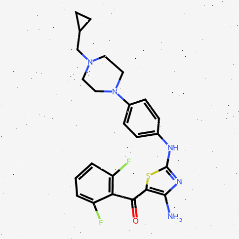 Nc1nc(Nc2ccc(N3CCN(CC4CC4)CC3)cc2)sc1C(=O)c1c(F)cccc1F